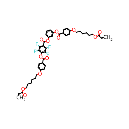 C=CC(=O)OCCCCCCOc1ccc(C(=O)Oc2cccc(OC(=O)c3c(F)c(F)c(OC(=O)c4ccc(OCCCCCCOC(=O)C=C)cc4)c(F)c3F)c2)cc1